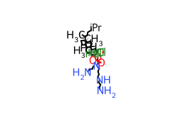 CC(C)CCCC(C)[C@H]1CC[C@H]2[C@@H]3CC=C4C[C@@H](OC(=O)C(=O)N(CCCN)CCCCNCCCN)CC[C@]4(C)[C@H]3CC[C@]12C.Cl.Cl.Cl